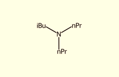 [CH2]CC(C)N(CCC)CCC